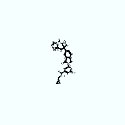 C[C@H](NCC1CC1)c1cc(Cl)nc(N2Cc3ccc(C4(Cc5nncn5C)COC4)cc3C2=O)c1